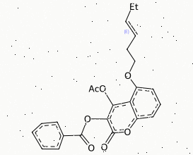 CC/C=C/CCOc1cccc2oc(=O)c(OC(=O)c3ccccc3)c(OC(C)=O)c12